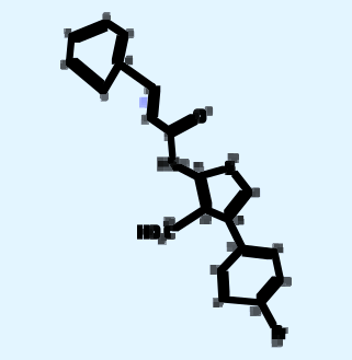 O=C(/C=C/c1ccccc1)Nc1scc(-c2ccc(Br)cc2)c1C(=O)O